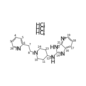 Cl.Cl.Cl.c1ccc(CCN2CCC(Nc3nc4cccnc4[nH]3)CC2)nc1